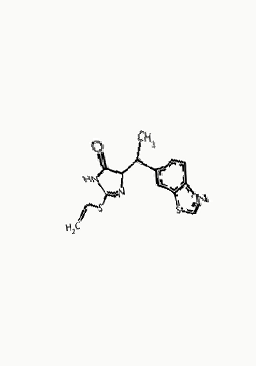 C=CSC1=NC(C(C)c2ccc3ncsc3c2)C(=O)N1